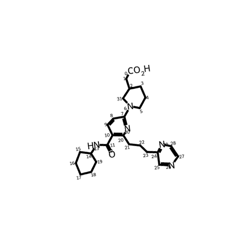 O=C(O)CC1CCCN(c2ccc(C(=O)NC3CCCCC3)c(CCCc3cnccn3)n2)C1